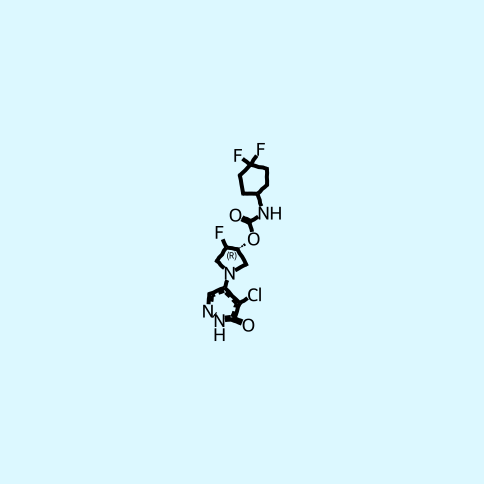 O=C(NC1CCC(F)(F)CC1)O[C@@H]1CN(c2cn[nH]c(=O)c2Cl)CC1F